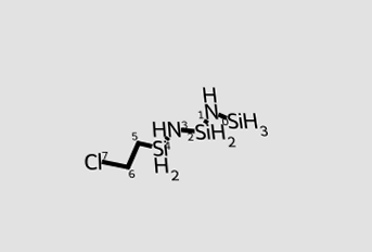 [SiH3]N[SiH2]N[SiH2]CCCl